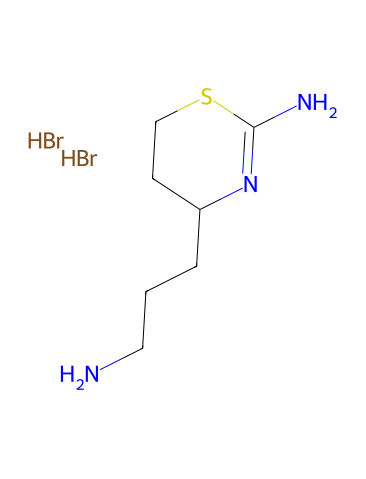 Br.Br.NCCCC1CCSC(N)=N1